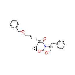 O=C1OC[C@H](Cc2ccccc2)N1C(=O)[C@@H](CC=CCOCc1ccccc1)C1CC1